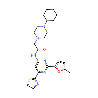 Cc1ccc(-c2nc(NC(=O)CN3CCN(C4CCCCC4)CC3)cc(-c3nccs3)n2)o1